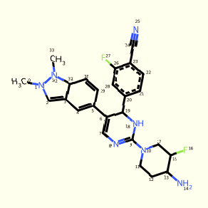 CN1C=C2C=C(C3=CN=C(N4CCC(N)C(F)C4)NC3c3ccc(C#N)c(F)c3)C=CC2N1C